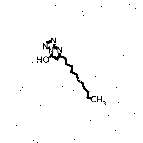 CCCCCCCCCCCc1cc(O)n2ncnc2n1